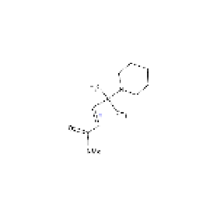 CNC(=O)/C=C/C(C)(C)N1CCCCC1